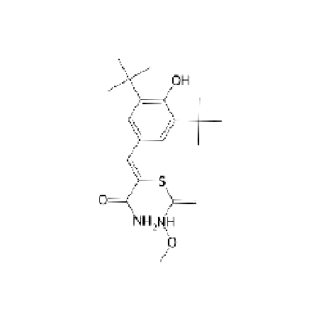 C=C(NOC)S/C(=C\c1cc(C(C)(C)C)c(O)c(C(C)(C)C)c1)C(N)=O